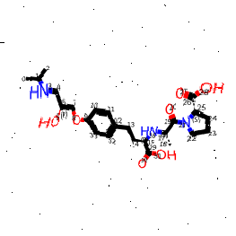 CC(C)NC[C@@H](O)COc1ccc(CC[C@@H](N[C@@H](C)C(=O)N2CCC[C@H]2C(=O)O)C(=O)O)cc1